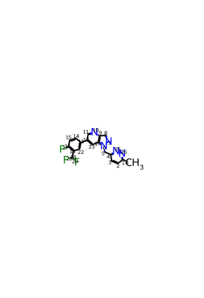 Cc1ccc(Cn2ncc3ncc(-c4ccc(F)c(C(F)F)c4)cc32)nn1